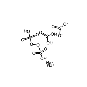 O=S(=O)(O)OOS(=O)(=O)O.O=S(O)O.O=S([O-])[O-].[Na+].[Na+]